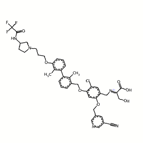 Cc1c(COc2cc(OCc3cncc(C#N)c3)c(C/N=C(\CO)C(=O)O)cc2Cl)cccc1-c1cccc(OCCCN2CCC(NC(=O)C(F)(F)F)C2)c1C